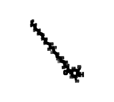 CCC=CCC=CCC=CCC=CCC=CCC=CCCC(=O)N1C[C@@H](C)N[C@@H](C)C1